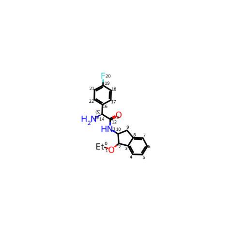 CCOC1c2ccccc2CC1NC(=O)[C@@H](N)c1ccc(F)cc1